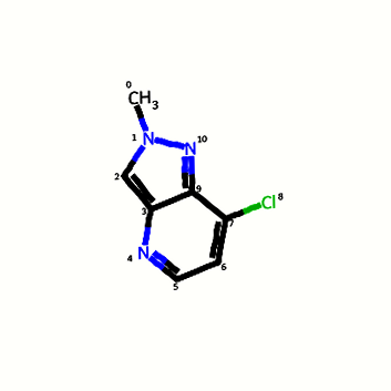 Cn1cc2nccc(Cl)c2n1